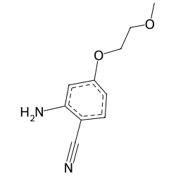 COCCOc1ccc(C#N)c(N)c1